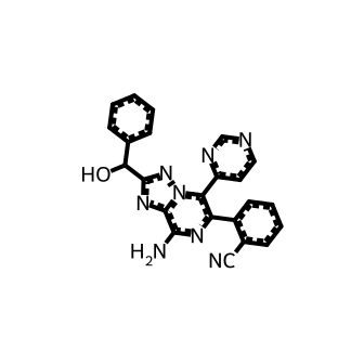 N#Cc1ccccc1-c1nc(N)c2nc(C(O)c3ccccc3)nn2c1-c1ccncn1